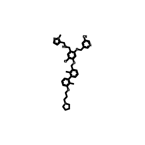 Cc1c(COc2cc(OCc3cncc(C#N)c3)c(CNCc3ccnn3C)cc2Cl)cccc1-c1cccc(OCCCN2CCCC2)c1C